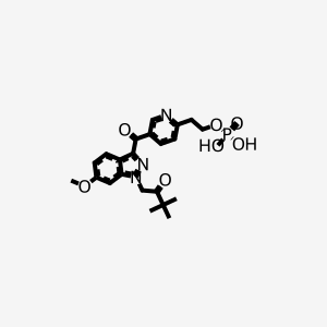 COc1ccc2c(C(=O)c3ccc(CCOP(=O)(O)O)nc3)nn(CC(=O)C(C)(C)C)c2c1